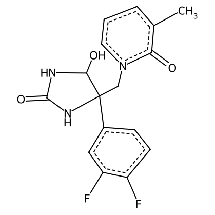 Cc1cccn(CC2(c3ccc(F)c(F)c3)NC(=O)NC2O)c1=O